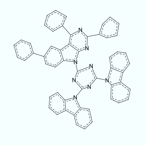 c1ccc(-c2ccc3c(c2)c2c(-c4ccccc4)nc(-c4ccccc4)nc2n3-c2nc(-n3c4ccccc4c4ccccc43)nc(-n3c4ccccc4c4ccccc43)n2)cc1